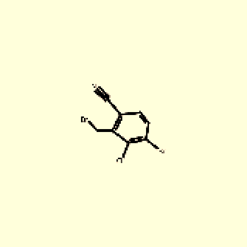 N#Cc1ccc(Br)c(Cl)c1CBr